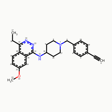 C#Cc1ccc(CN2CCC(Nc3nnc(CC)c4ccc(OC)cc34)CC2)cc1